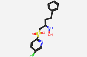 O=S(=O)(CC(CCc1ccccc1)NO)c1ccc(Cl)cn1